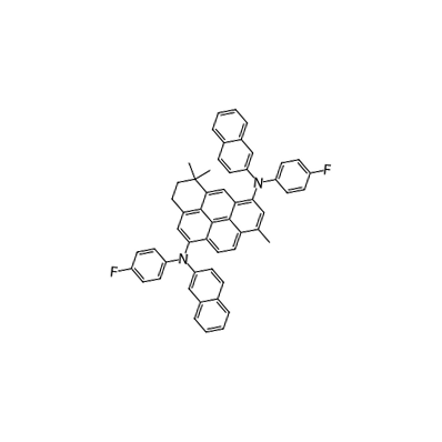 Cc1cc(N(c2ccc(F)cc2)c2ccc3ccccc3c2)c2cc3c4c(cc(N(c5ccc(F)cc5)c5ccc6ccccc6c5)c5ccc1c2c54)CCC3(C)C